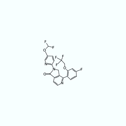 O=C1c2ccnc(-c3ccc(F)cc3OCC(F)(F)F)c2CN1c1ccc(OC(F)F)cn1